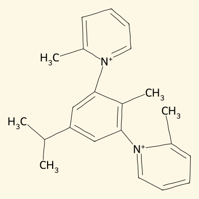 Cc1c(-[n+]2ccccc2C)cc(C(C)C)cc1-[n+]1ccccc1C